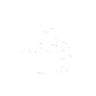 CNCCO[C@@H]1CCN(c2nccc(Nc3cc4c(C(C)C)ccc(N5C[C@H](CS(C)(=O)=O)[C@H]5C)c4cn3)n2)CC1(F)F